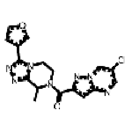 CC1c2nnc(-c3ccoc3)n2CCN1C(=O)c1cc2ncc(Cl)cn2n1